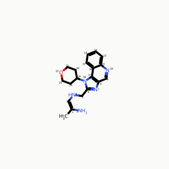 C/C(N)=C/NCc1nc2cnc3ccccc3c2n1C1CCOCC1